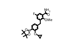 COc1c(Cc2ccc(B3OC(C)(C)C(C)(C)O3)c(OC3CC3)c2)cc(F)cc1C(N)=O